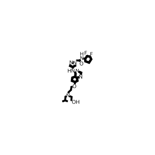 CC(C)CN(CCO)CCCOc1ccc2c(Nc3cnn(CC(=O)Nc4cccc(F)c4F)c3)ncnc2c1